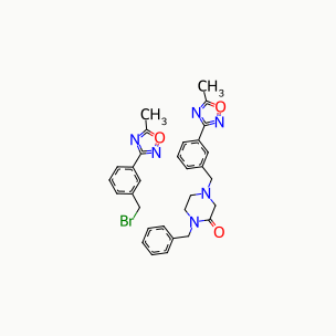 Cc1nc(-c2cccc(CBr)c2)no1.Cc1nc(-c2cccc(CN3CCN(Cc4ccccc4)C(=O)C3)c2)no1